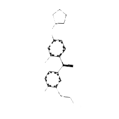 C=C(c1ccc(O)c(CCC=O)c1)c1ccc(OC2CCCC2)cc1C